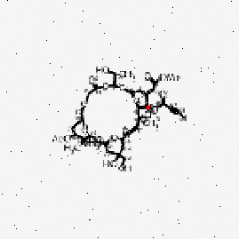 COC(=O)/C=C1\CC2CC([C@@H](C)O)OC(=O)CCCC3CC(OC(C)=O)C(C)(C)[C@](O)(C[C@@H]4CC(O)(CO)C[C@H](/C=C/C(C)(C)C(O)(O2)[C@H]1OC(=O)C#CI)O4)O3